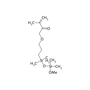 C=C(C)C(=O)COCCC[Si](C)(C)O[Si](C)(C)OC